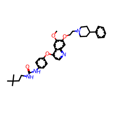 COc1cc2c(Oc3ccc(NC(=O)NCCC(C)(C)C)cc3)ccnc2cc1OCCN1CCC(c2ccccc2)CC1